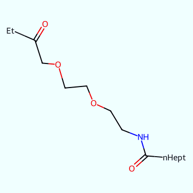 CCCCCCCC(=O)NCCOCCOCC(=O)CC